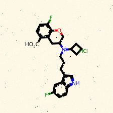 Cl.O=C(O)c1ccc(F)c2c1CC(N(CCCc1c[nH]c3ccc(F)cc13)C1CCC1)CO2